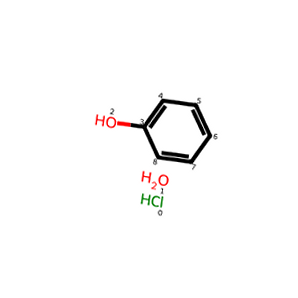 Cl.O.Oc1ccccc1